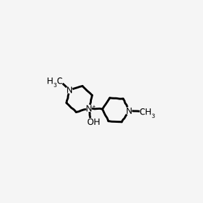 CN1CCC([N+]2(O)CCN(C)CC2)CC1